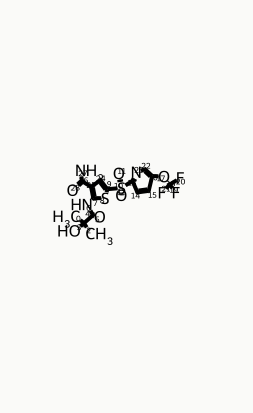 CC(C)(O)C(=O)Nc1sc(S(=O)(=O)c2ccc(OC(F)(F)F)cn2)cc1C(N)=O